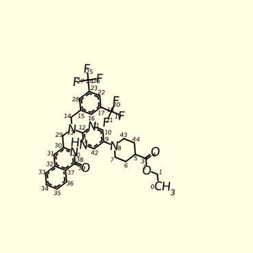 CCOC(=O)C1CCN(c2cnc(N(Cc3cc(C(F)(F)F)cc(C(F)(F)F)c3)Cc3cc4ccccc4c(=O)[nH]3)nc2)CC1